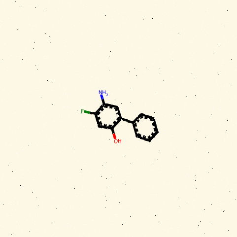 Nc1cc(-c2ccccc2)c(O)cc1F